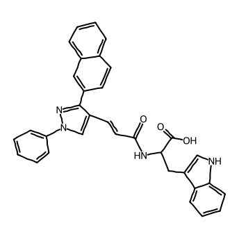 O=C(/C=C/c1cn(-c2ccccc2)nc1-c1ccc2ccccc2c1)NC(Cc1c[nH]c2ccccc12)C(=O)O